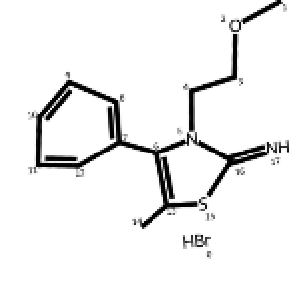 Br.COCCn1c(-c2ccccc2)c(C)sc1=N